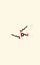 CCCCCCCC(C)Oc1cc(/C=C/C(=O)O)cc(OC(C)CCCCCCC)c1